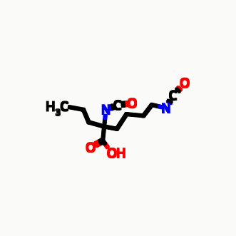 CCCC(CCCCN=C=O)(N=C=O)C(=O)O